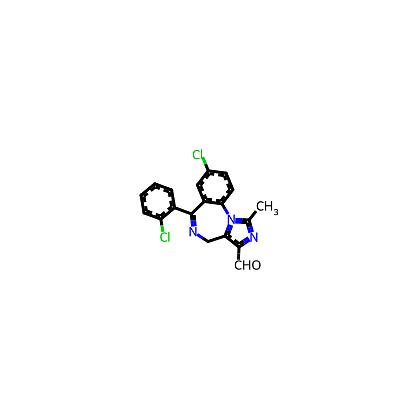 Cc1nc(C=O)c2n1-c1ccc(Cl)cc1C(c1ccccc1Cl)=NC2